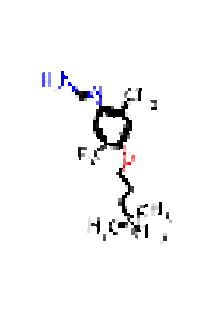 Cc1cc(OCCC[Si](C)(C)C)c(C(F)(F)F)cc1N=CN